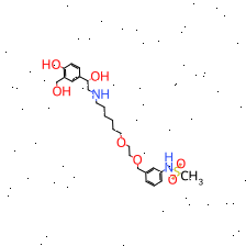 CS(=O)(=O)Nc1cccc(COCCOCCCCCCNC[C@@H](O)c2ccc(O)c(CO)c2)c1